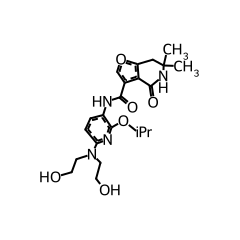 CC(C)Oc1nc(N(CCO)CCO)ccc1NC(=O)c1coc2c1C(=O)NC(C)(C)C2